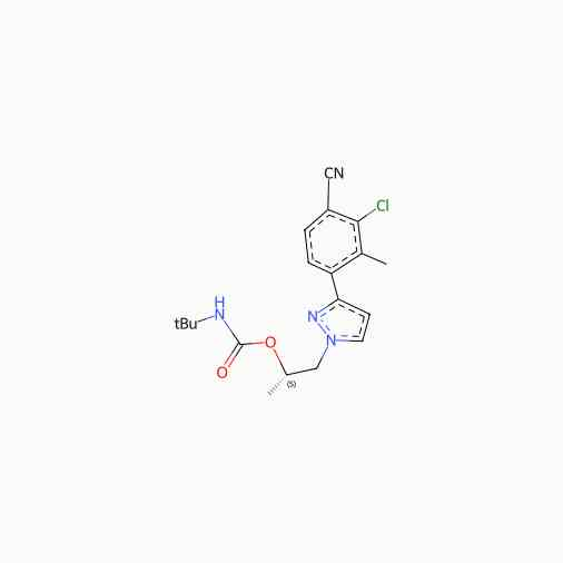 Cc1c(-c2ccn(C[C@H](C)OC(=O)NC(C)(C)C)n2)ccc(C#N)c1Cl